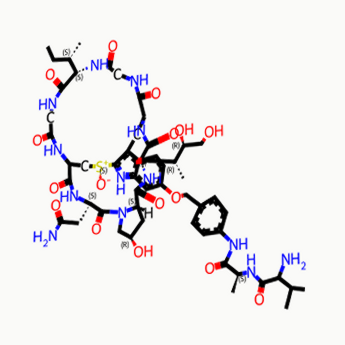 CC[C@H](C)[C@@H]1NC(=O)CNC(=O)C2Cc3c([nH]c4cc(OCc5ccc(NC(=O)[C@H](C)NC(=O)C(N)C(C)C)cc5)ccc34)[S@+]([O-])CC(NC(=O)CNC1=O)C(=O)N[C@@H](CC(N)=O)C(=O)N1C[C@H](O)C[C@H]1C(=O)N[C@@H]([C@@H](C)[C@@H](O)CO)C(=O)N2